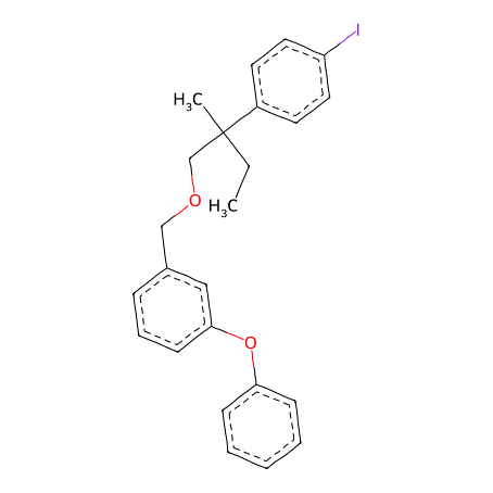 CCC(C)(COCc1cccc(Oc2ccccc2)c1)c1ccc(I)cc1